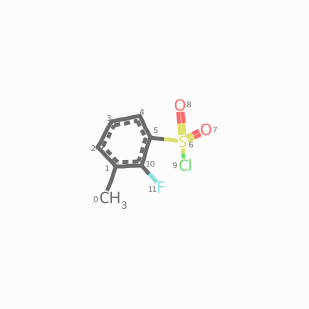 Cc1cccc(S(=O)(=O)Cl)c1F